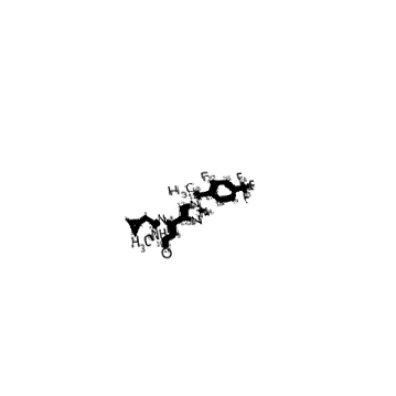 CN/C(CC1CC1)=N\C(=C/C=O)c1cn(C(C)c2ccc(C(F)(F)F)cc2F)nn1